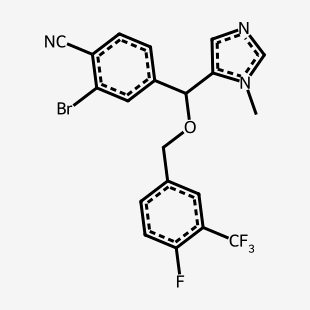 Cn1cncc1C(OCc1ccc(F)c(C(F)(F)F)c1)c1ccc(C#N)c(Br)c1